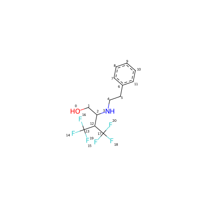 OCC(NCCc1ccccc1)C(C(F)(F)F)C(F)(F)F